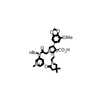 CCCCN(C(=O)CN1C[C@H](c2cc(OC)c3c(c2)OCO3)[C@@H](C(=O)O)[C@@H]1CCN1CC(C)(C)CC1=O)c1ccc[n+](C)c1